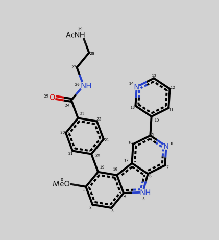 COc1ccc2[nH]c3cnc(-c4cccnc4)cc3c2c1-c1ccc(C(=O)NCCNC(C)=O)cc1